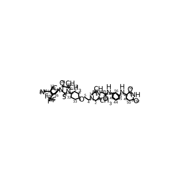 C[C@@H]1CN(CCO[C@H]2CC[C@H](N3C(=S)N(c4ccc(C#N)c(C(F)(F)F)c4)C(=O)C3(C)C)CC2)C[C@H](C)N1CC(=O)Nc1cccc(NC2CCC(=O)NC2=O)c1